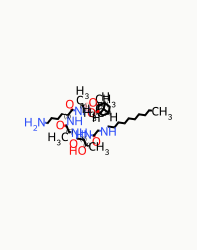 CCCCCCCCCCNCC(=O)N[C@H](C(=O)N[C@@H](C)C(=O)N[C@@H](CCCCN)C(=O)N[C@@H](C)B1O[C@@H]2C[C@@H]3C[C@@H](C3(C)C)[C@]2(C)O1)[C@@H](C)O